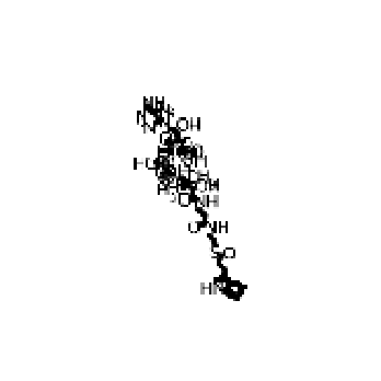 CC(C)(COP(=O)(O)OP(=O)(O)OC[C@H]1O[C@@H](n2cnc3c(N)ncnc32)[C@H](O)[C@@H]1OP(=O)(O)O)C(O)C(=O)NCCC(=O)NCCSC(=O)CCc1c[nH]c2ccccc12